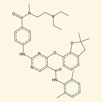 CCN(CC)CCN(C)C(=O)c1ccc(Nc2ncc(C(=O)Nc3c(C)cccc3C)c(Oc3cccc4c3OC(C)(C)C4)n2)cc1